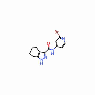 O=C(Nc1ccnc(Br)c1)c1n[nH]c2c1CCCC2